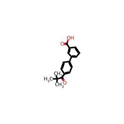 CC(C)(C)C(=O)c1ccc(-c2cccc(C(=O)O)c2)cc1